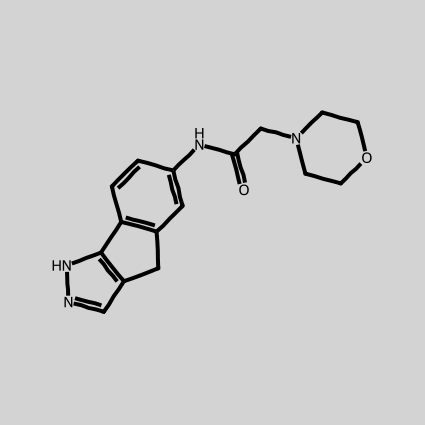 O=C(CN1CCOCC1)Nc1ccc2c(c1)Cc1cn[nH]c1-2